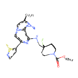 CCOC(=O)c1cn2cc(-c3ccns3)nc(NCC3(F)CCN(C(=O)OC(C)(C)C)CC3)c2n1